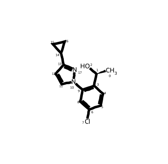 C[C@H](O)c1ccc(Cl)cc1-n1ccc(C2CC2)n1